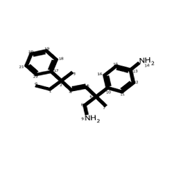 CCC(C)(/C=C/C(C)(CN)c1ccc(N)cc1)c1ccccc1